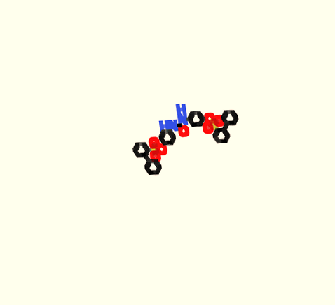 O=C(Nc1ccc(OS(=O)(=O)c2ccccc2-c2ccccc2)cc1)Nc1ccc(OS(=O)(=O)c2ccccc2-c2ccccc2)cc1